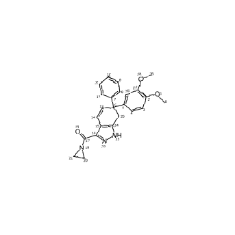 COc1ccc(C2(c3ccccc3)C=Cc3c(C(=O)N4CC4)n[nH]c3C2)cc1OC